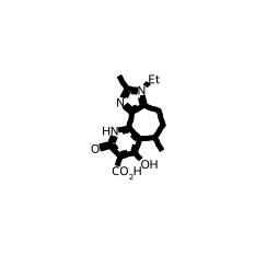 CCn1c(C)nc2c1CCC(C)c1c-2[nH]c(=O)c(C(=O)O)c1O